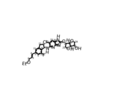 CCOC/C=C/c1cc(F)c2c(c1)CC[C@@H]2Nc1nc2nc(O[C@@H]3CO[C@H]4[C@@H]3OC[C@H]4O)[nH]c2cc1Cl